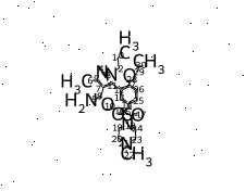 CCCn1nc(C)c(C(N)=O)c1-c1cc(S(=O)(=O)N2CCN(C)CC2)ccc1OCC